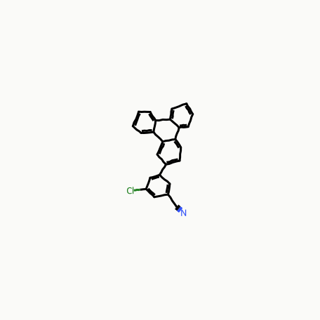 N#Cc1cc(Cl)cc(-c2ccc3c4ccccc4c4ccccc4c3c2)c1